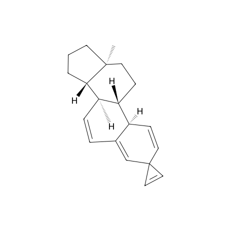 C[C@@]12CCC[C@H]1[C@@H]1C=CC3=CC4(C=C[C@@H]3[C@H]1CC2)C=C4